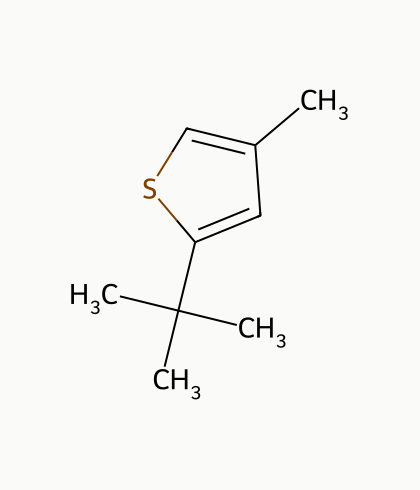 Cc1csc(C(C)(C)C)c1